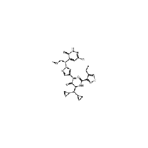 CCc1nonc1C(=O)NC(C(=O)Nc1cnn(C(COC)c2cc(Cl)n[nH]c2=O)c1)C(C1CC1)C1CC1